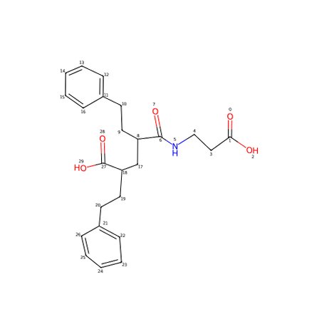 O=C(O)CCNC(=O)C(CCc1ccccc1)CC(CCc1ccccc1)C(=O)O